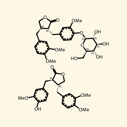 COc1cc(C[C@H]2C(=O)OC[C@@H]2Cc2ccc(OC)c(OC)c2)ccc1O.COc1ccc(C[C@H]2COC(=O)[C@@H]2Cc2ccc(O[C@@H]3O[C@H](CO)[C@@H](O)[C@H](O)[C@H]3O)c(OC)c2)cc1OC